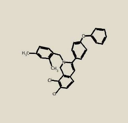 Cc1ccc(CN2Cc3c(ccc(Cl)c3Cl)C=C2c2ccc(Oc3ccccc3)cc2)c(C)c1